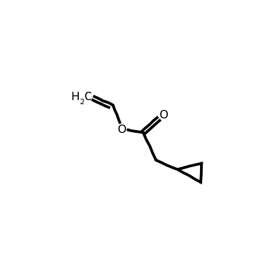 C=COC(=O)CC1CC1